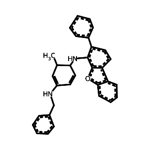 CC1C=C(NCc2ccccc2)C=CC1Nc1c(-c2ccccc2)ccc2c1oc1ccccc12